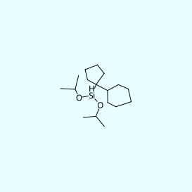 CC(C)O[SiH](OC(C)C)C1(C2CCCCC2)CCCC1